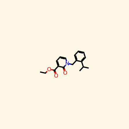 CCOC(=O)c1cccn(Cc2ccccc2C(C)C)c1=O